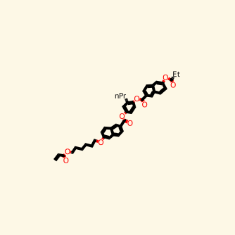 C=CC(=O)OCCCCCCOc1ccc2cc(C(=O)Oc3ccc(OC(=O)c4ccc5cc(OC(=O)CC)ccc5c4)c(CCC)c3)ccc2c1